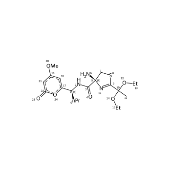 CCC[C@H](NC(=O)[C@]1(N)CSC(C(C)(OCC)OCC)=N1)c1cc(OC)cc(=O)o1